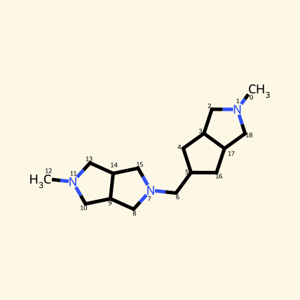 CN1CC2CC(CN3CC4CN(C)CC4C3)CC2C1